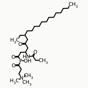 CCCCCCCCCCCCCC(CC)CC(=O)CC(CC(=O)P(O)C(=O)CC[N+](C)(C)C)NC(=O)CC